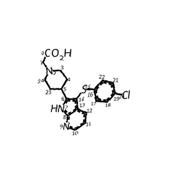 O=C(O)CN1CCC(c2[nH]c3ncccc3c2Sc2ccc(Cl)cc2)CC1